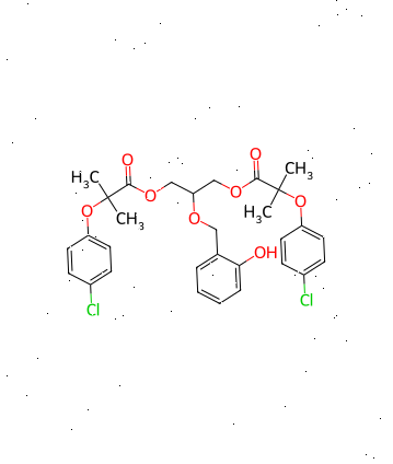 CC(C)(Oc1ccc(Cl)cc1)C(=O)OCC(COC(=O)C(C)(C)Oc1ccc(Cl)cc1)OCc1ccccc1O